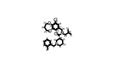 Cc1ccccc1CN1CCC[C@@H](C(=O)N(Cc2cc(Cl)c3c(c2)OCCCO3)CC(C)C)C1